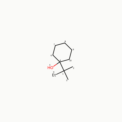 CCC(C)(C)C1(O)CCCCC1